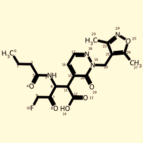 CCCC(=O)NC(C(=O)CF)C(C(=O)O)c1ccnn(Cc2c(C)noc2C)c1=O